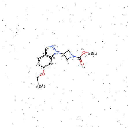 COCOc1ccc2cnn(C3CN(C(=O)OC(C)(C)C)C3)c2c1